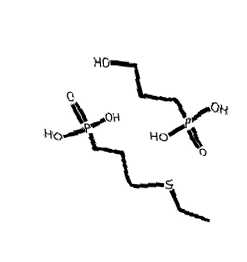 CCSCCCP(=O)(O)O.O=P(O)(O)CCCO